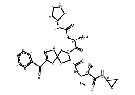 CCC[C@H](NC(=O)[C@@H]1CC2(CC(C(=O)c3ccccc3)=NO2)CN1C(=O)[C@@H](NC(=O)O[C@H]1CCOC1)C(C)(C)C)C(O)C(=O)NC1CC1